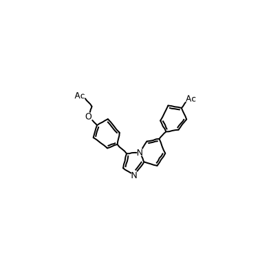 CC(=O)COc1ccc(-c2cnc3ccc(-c4ccc(C(C)=O)cc4)cn23)cc1